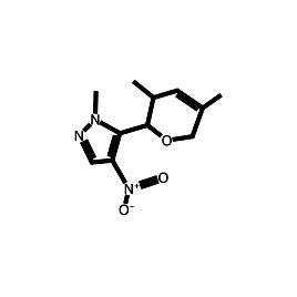 CC1=CC(C)C(c2c([N+](=O)[O-])cnn2C)OC1